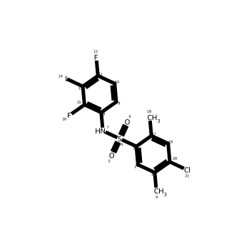 Cc1cc(S(=O)(=O)Nc2ccc(F)c(I)c2F)c(C)cc1Cl